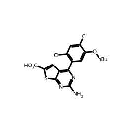 CCCCOc1cc(-c2nc(N)nc3sc(C(=O)O)cc23)c(Cl)cc1Cl